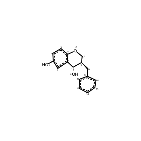 Oc1ccc2c(c1)[C@@H](O)[C@H](Cc1ccccc1)CO2